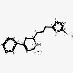 Cl.Nc1nnc(CCCC2CC(c3ccccc3)=CCN2)s1